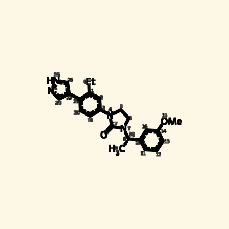 CCc1cc(N2CCN([C@H](C)c3cccc(OC)c3)C2=O)ccc1-c1cn[nH]c1